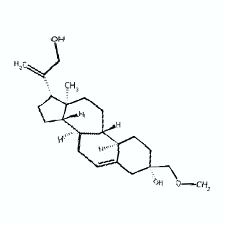 C=C(CO)[C@H]1CC[C@H]2[C@@H]3CC=C4C[C@](O)(COC)CC[C@@H]4[C@H]3CC[C@]12C